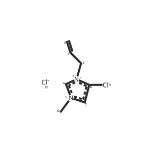 C=CC[n+]1cn(C)cc1Cl.[Cl-]